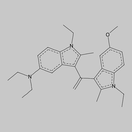 C=C(c1c(C)n(CC)c2ccc(OC)cc12)c1c(C)n(CC)c2ccc(N(CC)CC)cc12